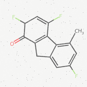 Cc1cc(F)cc2c1C1=C(C2)C(=O)C(F)C=C1F